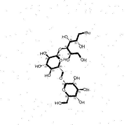 CC(C)(C)C[C@H](O)[C@@H](O)[C@H](O[C@H]1O[C@H](CO[C@H]2O[C@H](CO)[C@@H](O)[C@H](O)[C@H]2O)[C@@H](O)[C@H](O)[C@H]1O)[C@H](O)CO